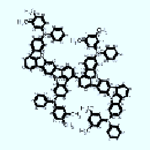 Cc1cc(C)cc(N(c2ccccc2)c2ccc3c4cccc5c6cc7c(cc6n(c3c2)c45)c2ccc(-c3ccc4c5cc6c(cc5n5c8cc(N(c9ccccc9)c9ccc(C)c(C)c9)ccc8c3c45)c3cccc4c5ccc(N(c8ccccc8)c8ccc(C)c(C)c8)cc5n6c43)c3c4ccc(N(c5ccccc5)c5cc(C)cc(C)c5)cc4n7c23)c1